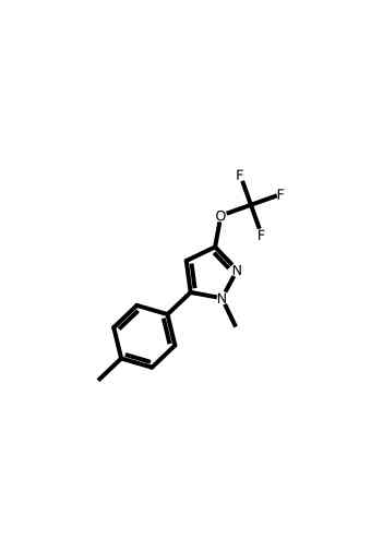 Cc1ccc(-c2cc(OC(F)(F)F)nn2C)cc1